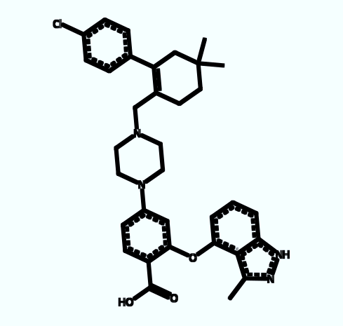 Cc1n[nH]c2cccc(Oc3cc(N4CCN(CC5=C(c6ccc(Cl)cc6)CC(C)(C)CC5)CC4)ccc3C(=O)O)c12